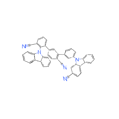 N#Cc1ccc2c3ccccc3n(-c3cccc(-c4cc(-c5cccc(C#N)c5-n5c6ccccc6c6ccccc65)ccc4C#N)c3)c2c1